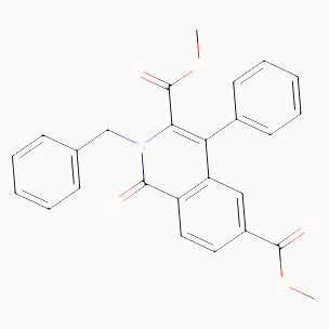 COC(=O)c1ccc2c(=O)n(Cc3ccccc3)c(C(=O)OC)c(-c3ccccc3)c2c1